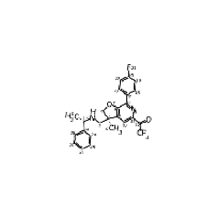 C[C@H](NC[C@@]1(C)COc2c1cc(C(=O)C(F)(F)F)nc2-c1ccc(F)cc1)c1ccccc1